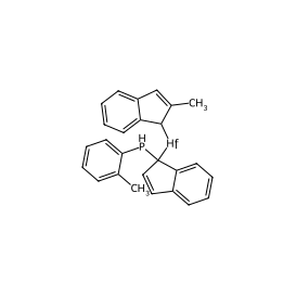 CC1=Cc2ccccc2[CH]1[Hf][C]1(Pc2ccccc2C)C=Cc2ccccc21